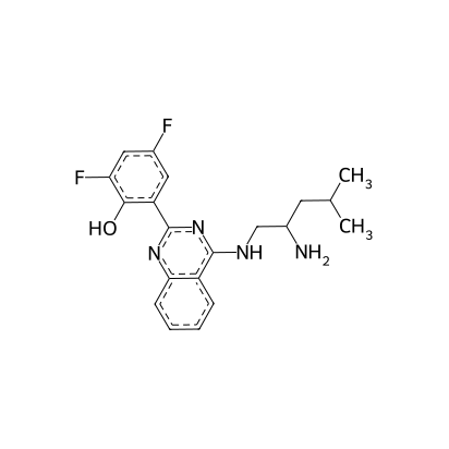 CC(C)CC(N)CNc1nc(-c2cc(F)cc(F)c2O)nc2ccccc12